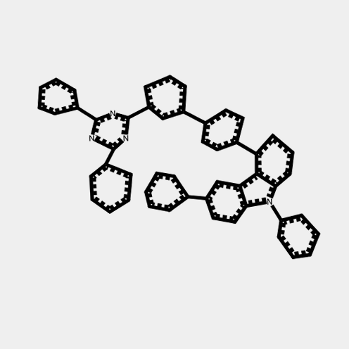 c1ccc(-c2ccc3c(c2)c2c(-c4ccc(-c5cccc(-c6nc(-c7ccccc7)nc(-c7ccccc7)n6)c5)cc4)cccc2n3-c2ccccc2)cc1